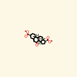 COC(=O)[C@H]1CC[C@@]2(C)C(=CC(=O)[C@H]3[C@@H]4CC[C@H](C(=O)OC)[C@@]4(C)CC[C@@H]32)C1